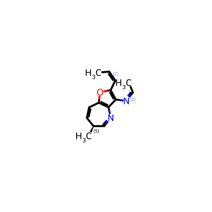 C/C=C\c1oc2c(c1/N=C\C)N=C[C@@H](C)C=C2